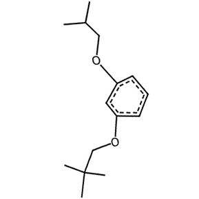 CC(C)COc1cccc(OCC(C)(C)C)c1